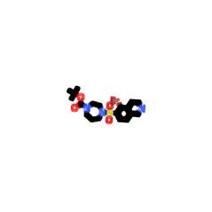 CC(C)(C)OC(=O)N1CCCN(S(=O)(=O)c2ccc3cnccc3c2Br)CC1